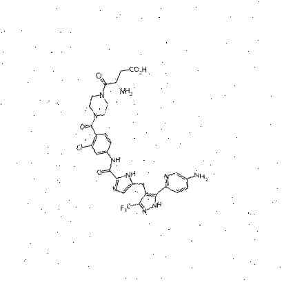 Nc1ccc(-c2[nH]nc(C(F)(F)F)c2Cc2cnc(C(=O)Nc3ccc(C(=O)N4CCN(C(=O)[C@@H](N)CC(=O)O)CC4)c(Cl)c3)[nH]2)nc1